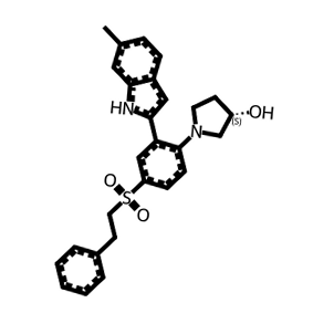 Cc1ccc2cc(-c3cc(S(=O)(=O)CCc4ccccc4)ccc3N3CC[C@H](O)C3)[nH]c2c1